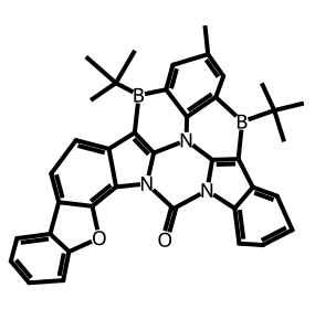 Cc1cc2c3c(c1)B(C(C)(C)C)c1c4ccc5c6ccccc6oc5c4n4c(=O)n5c6ccccc6c(c5n-3c14)B2C(C)(C)C